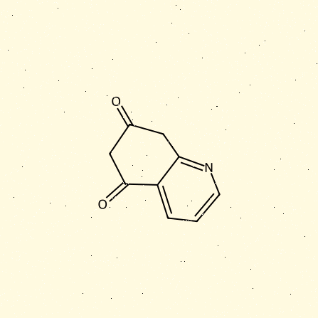 O=C1CC(=O)c2cccnc2C1